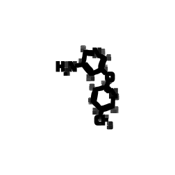 Nc1cncc(Oc2ccc(C(F)(F)F)cn2)c1